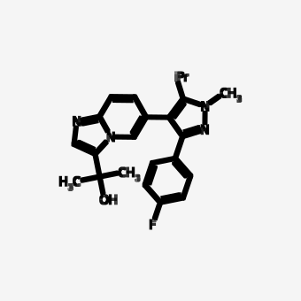 CC(C)c1c(-c2ccc3ncc(C(C)(C)O)n3c2)c(-c2ccc(F)cc2)nn1C